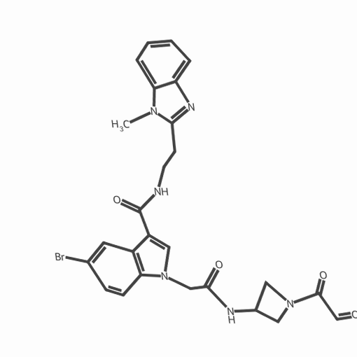 C=CC(=O)N1CC(NC(=O)Cn2cc(C(=O)NCCc3nc4ccccc4n3C)c3cc(Br)ccc32)C1